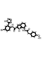 CCOc1ccc(CC(=O)Nc2cccc3cc(C(=O)Nc4ccc(Br)cc4-c4nnn[nH]4)[nH]c23)cc1